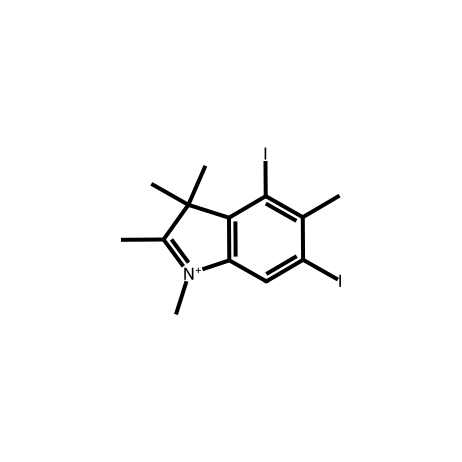 CC1=[N+](C)c2cc(I)c(C)c(I)c2C1(C)C